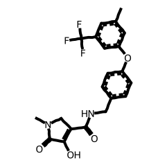 Cc1cc(Oc2ccc(CNC(=O)C3=C(O)C(=O)N(C)C3)cc2)cc(C(F)(F)F)c1